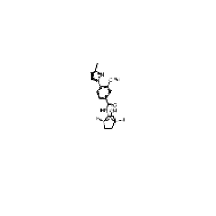 Cc1ccn(-c2ccc(C(=O)N[C@@H]3C[C@@H]4CC[C@H]3N4C#N)cc2OCC(C)C)n1